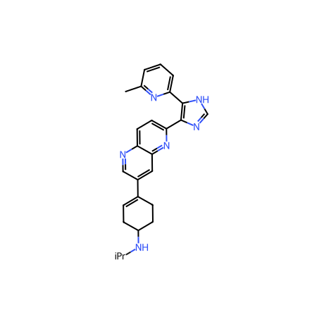 Cc1cccc(-c2[nH]cnc2-c2ccc3ncc(C4=CCC(NC(C)C)CC4)cc3n2)n1